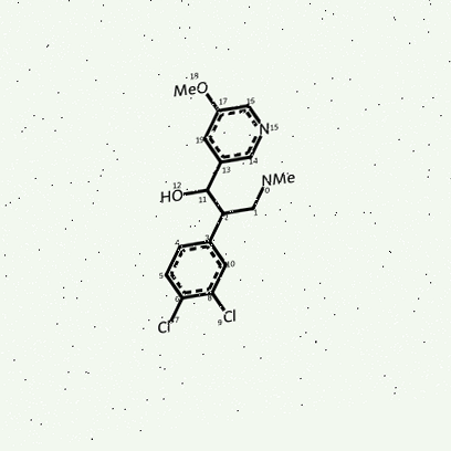 CNCC(c1ccc(Cl)c(Cl)c1)C(O)c1cncc(OC)c1